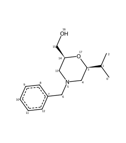 CC(C)[C@H]1CN(Cc2ccccc2)C[C@@H](CO)O1